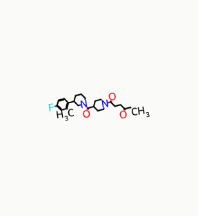 CCC(=O)CCC(=O)N1CCC(C(=O)N2CCCC(c3ccc(F)cc3C)C2)CC1